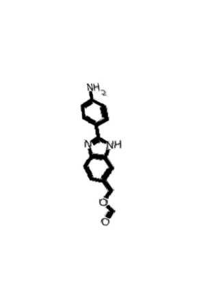 Nc1ccc(-c2nc3ccc(COC=O)cc3[nH]2)cc1